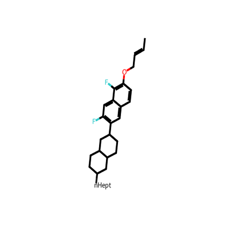 CC=CCOc1ccc2cc(C3CCC4CC(CCCCCCC)CCC4C3)c(F)cc2c1F